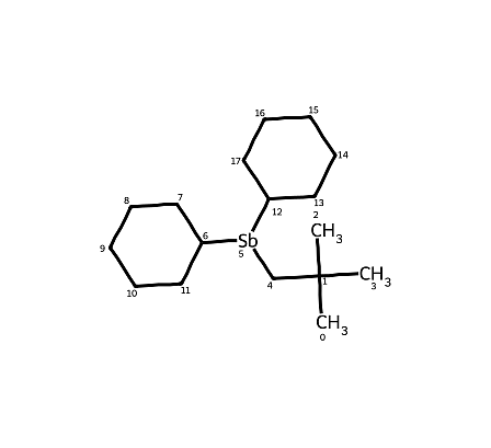 CC(C)(C)[CH2][Sb]([CH]1CCCCC1)[CH]1CCCCC1